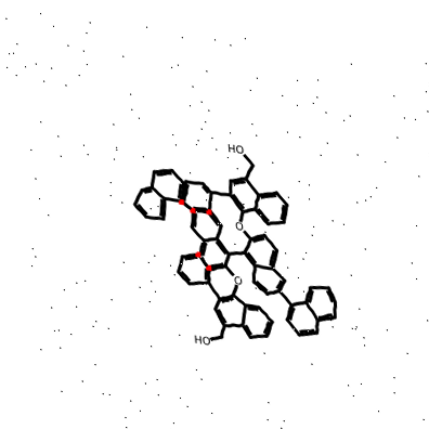 OCc1cc(-c2ccccc2)c(Oc2ccc3cc(-c4cccc5ccccc45)ccc3c2-c2c(Oc3c(-c4ccccc4)cc(CO)c4ccccc34)ccc3cc(-c4cccc5ccccc45)ccc23)c2ccccc12